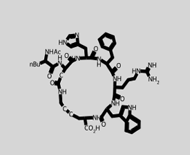 CCCCC(NC(C)=O)C(=O)NC1CC(=O)NCCCCC(C(=O)O)NC(=O)C(Cc2c[nH]c3ccccc23)NC(=O)C(CCCNC(=N)N)NC(=O)C(Cc2ccccc2)NC(=O)C(Cc2c[nH]cn2)NC1=O